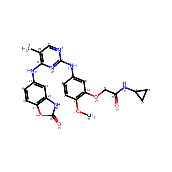 COc1ccc(Nc2ncc(C)c(Nc3ccc4oc(=O)[nH]c4c3)n2)cc1OCC(=O)NC1CC1